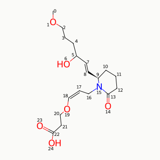 COCCCC(O)/C=C/[C@H]1CCCC(=O)N1C/C=C\OCCC(=O)O